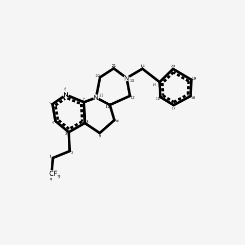 FC(F)(F)CCc1ccnc2c1CCC1CN(Cc3ccccc3)CCN21